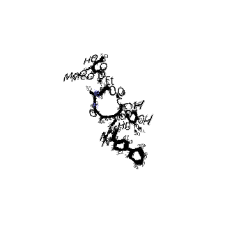 CC[C@H]1OC(=O)C[C@@H](O)[C@H](C)[C@@H](O[C@@H]2O[C@H](C)[C@@H](O)C(N(C)C)C2O)[C@@H](CCn2cc(-c3ccc(-c4ccccc4)cc3)nn2)C[C@@H](C)C(=O)/C=C/C(C)=C/[C@@H]1CO[C@@H]1OC(C)[C@@H](O)[C@H](COC)C1OC